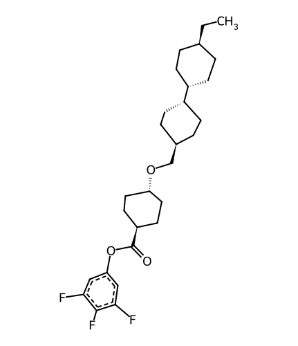 CC[C@H]1CC[C@H]([C@H]2CC[C@H](CO[C@H]3CC[C@H](C(=O)Oc4cc(F)c(F)c(F)c4)CC3)CC2)CC1